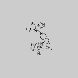 Cc1nc(N2CCC3(CC2)CO[C@@H](C)[C@H]3N[S+]([O-])C(C)(C)C)c2cncn2c1Br